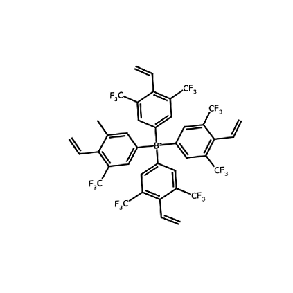 C=Cc1c(C)cc([B-](c2cc(C(F)(F)F)c(C=C)c(C(F)(F)F)c2)(c2cc(C(F)(F)F)c(C=C)c(C(F)(F)F)c2)c2cc(C(F)(F)F)c(C=C)c(C(F)(F)F)c2)cc1C(F)(F)F